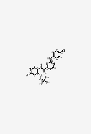 O=C(Nc1cnc(F)cc1OCC(F)(F)F)c1ccnc(Nc2ccc(Cl)cc2)n1